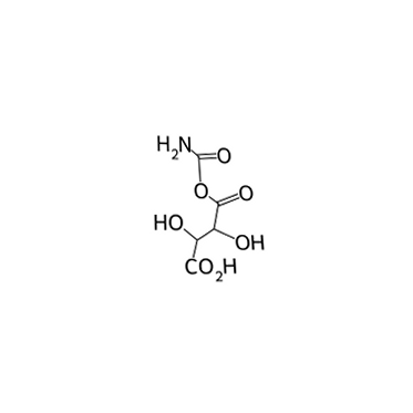 NC(=O)OC(=O)C(O)C(O)C(=O)O